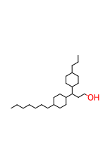 CCCCCCCC1CCC(C(CCO)C2CCC(CCC)CC2)CC1